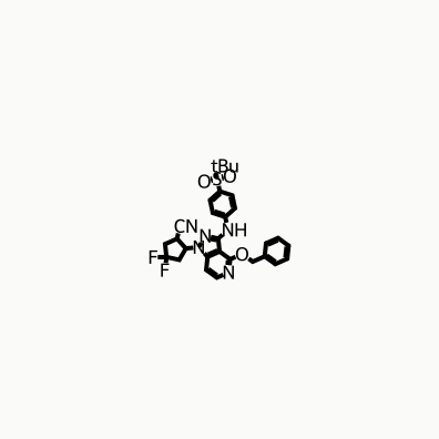 CC(C)(C)S(=O)(=O)c1ccc(Nc2nn(C3CC(F)(F)CC3C#N)c3ccnc(OCc4ccccc4)c23)cc1